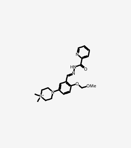 COCOc1ccc(N2CC[N+](C)(C)CC2)cc1/C=N/NC(=O)c1ccccn1